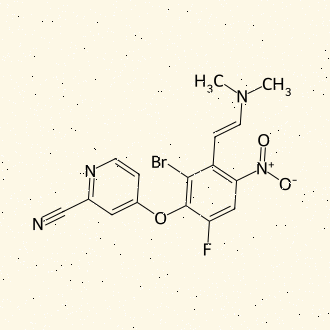 CN(C)/C=C/c1c([N+](=O)[O-])cc(F)c(Oc2ccnc(C#N)c2)c1Br